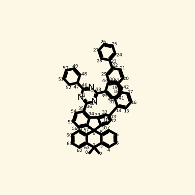 CC1(C)c2ccccc2C2(c3ccc(-c4cccc(-c5ccc(-c6ccccc6)cc5)c4)cc3-c3c(-c4nc(-c5ccccc5)nc(C5C=CC=CC5)n4)cccc32)c2ccccc21